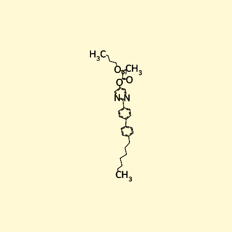 CCCCCCCc1ccc(-c2ccc(-c3ncc(OC(=O)[C@H](C)OCCCC)cn3)cc2)cc1